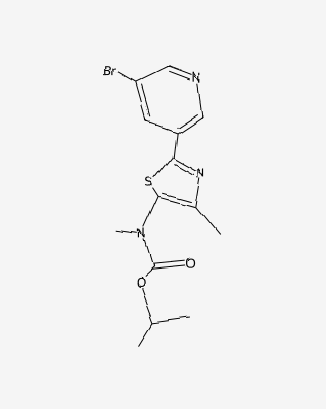 Cc1nc(-c2cncc(Br)c2)sc1N(C)C(=O)OC(C)C